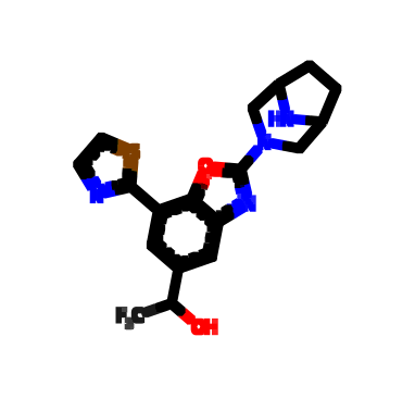 OC(c1cc(-c2nccs2)c2oc(N3CC4CCC(C3)N4)nc2c1)C(F)(F)F